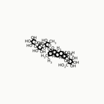 C[C@@H]1O[C@@H](O[C@H]2[C@H](OC(=O)[C@]34CCC(C)(C)C[C@H]3C3=CC[C@@H]5[C@@]6(C)C[C@H](O)[C@H](O[C@@H]7O[C@H](C(=O)O)[C@@H](O)[C@H](O)[C@H]7O)[C@@](C)(C(=O)O)[C@@H]6CC[C@@]5(C)[C@]3(C)CC4)O[C@H](C)[C@H](O)[C@@H]2O)[C@H](O)[C@H](O)[C@H]1O[C@@H]1OC[C@@H](O)[C@H](O)[C@H]1O